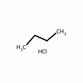 C[CH]CC.Cl